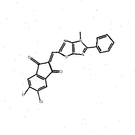 Cn1c(-c2ccccc2)nc2sc(C=C3C(=O)c4cc(Cl)c(Cl)cc4C3=O)nc21